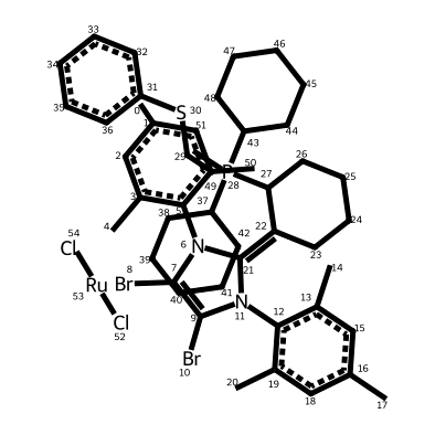 Cc1cc(C)c(N2C(Br)=C(Br)N(c3c(C)cc(C)cc3C)C2=C2CCCCC2P(=CSc2ccccc2)(C2CCCCC2)C2CCCCC2)c(C)c1.[Cl][Ru][Cl]